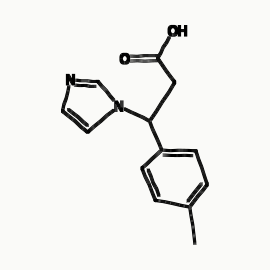 Cc1ccc(C(CC(=O)O)n2ccnc2)cc1